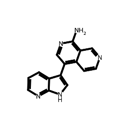 Nc1ncc(-c2c[nH]c3ncccc23)c2ccncc12